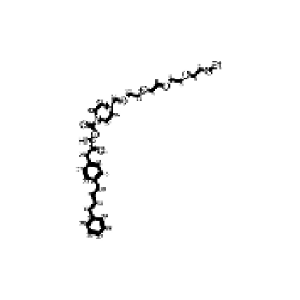 CCOCCOCCOCCOCCOCN1CCN(C(=O)ONC(=O)Cc2ccc(CCCCc3ccccc3)cc2)CC1